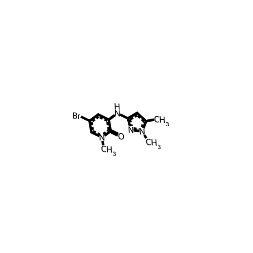 Cc1cc(Nc2cc(Br)cn(C)c2=O)nn1C